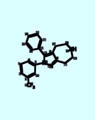 FC(F)(F)c1cccc(-n2nc3c(c2-c2ccccc2)CCNCC3)c1